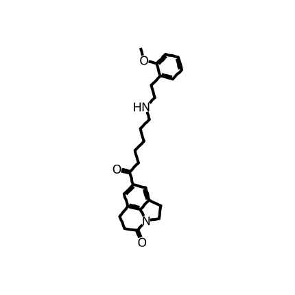 COc1ccccc1CCNCCCCCC(=O)c1cc2c3c(c1)CCN3C(=O)CC2